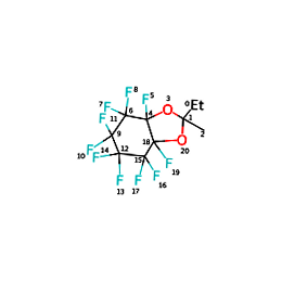 CCC1(C)OC2(F)C(F)(F)C(F)(F)C(F)(F)C(F)(F)C2(F)O1